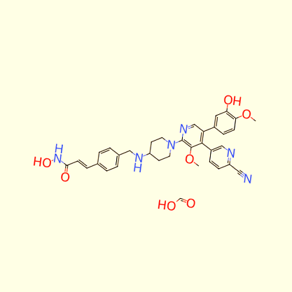 COc1ccc(-c2cnc(N3CCC(NCc4ccc(/C=C/C(=O)NO)cc4)CC3)c(OC)c2-c2ccc(C#N)nc2)cc1O.O=CO